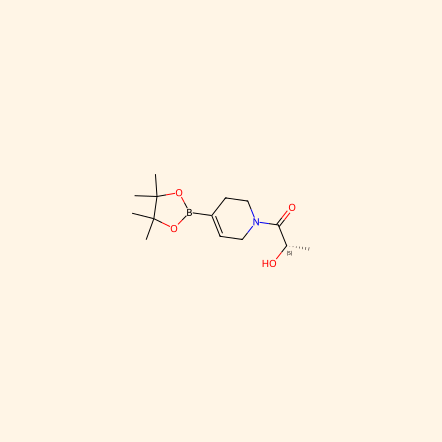 C[C@H](O)C(=O)N1CC=C(B2OC(C)(C)C(C)(C)O2)CC1